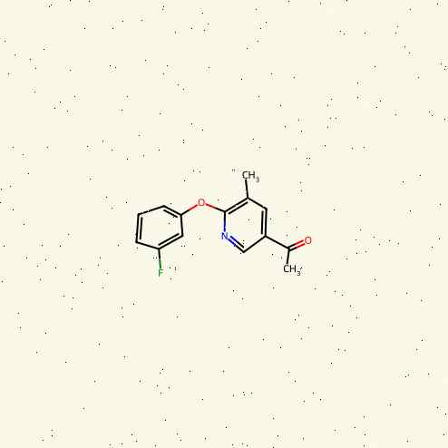 CC(=O)c1cnc(Oc2cccc(F)c2)c(C)c1